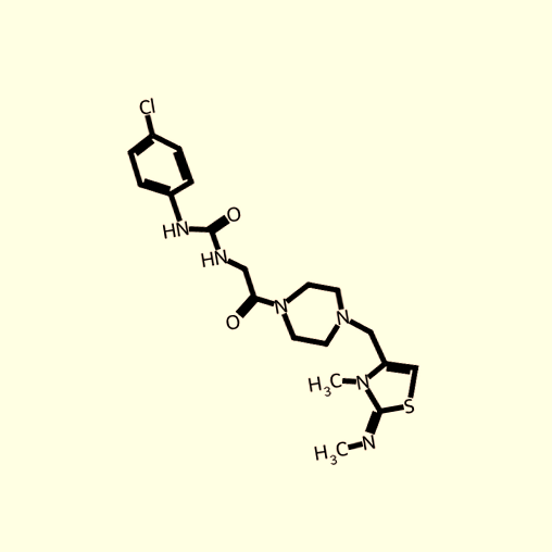 CN=c1scc(CN2CCN(C(=O)CNC(=O)Nc3ccc(Cl)cc3)CC2)n1C